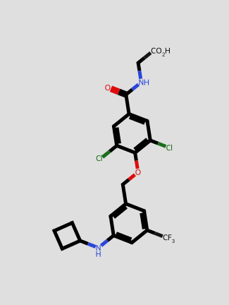 O=C(O)CNC(=O)c1cc(Cl)c(OCc2cc(NC3CCC3)cc(C(F)(F)F)c2)c(Cl)c1